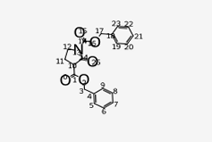 O=C(OCc1ccccc1)C1CCN(C(=O)OCc2ccccc2)C1=O